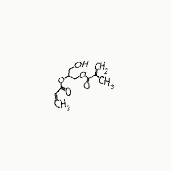 C=CC(=O)OC(CO)COC(=O)C(=C)C